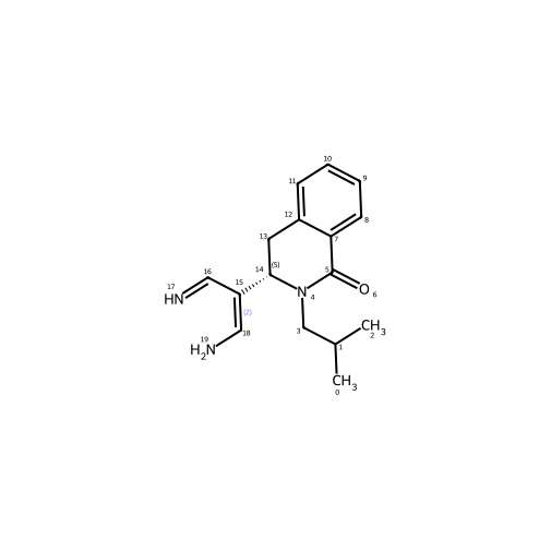 CC(C)CN1C(=O)c2ccccc2C[C@H]1/C(C=N)=C/N